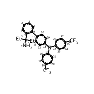 CCC(N)(CC)c1ccccc1-c1ccc(N(c2ccc(C(F)(F)F)cc2)c2ccc(C(F)(F)F)cc2)cc1